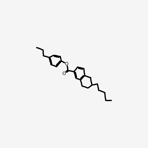 CCCCCC1CCc2cc(C(=O)Oc3ccc(CCC)cc3)ccc2C1